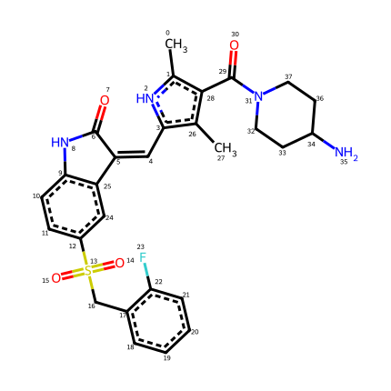 Cc1[nH]c(/C=C2\C(=O)Nc3ccc(S(=O)(=O)Cc4ccccc4F)cc32)c(C)c1C(=O)N1CCC(N)CC1